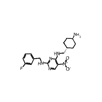 N[C@H]1CC[C@H](CNc2nc(NCc3cccc(F)c3)ncc2[N+](=O)[O-])CC1